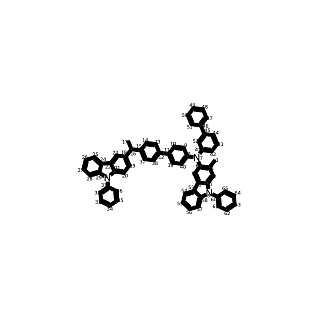 Cc1cc2c(cc1N(c1ccc(-c3ccc(C(C)c4ccc5c(c4)c4ccccc4n5-c4ccccc4)cc3)cc1)c1cccc(-c3ccccc3)c1)c1ccccc1n2-c1ccccc1